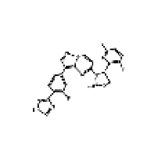 Cc1ccc(F)c([C@H]2COC(=O)N2c2ccn3ncc(-c4ccc(-c5nc[nH]n5)c(F)c4)c3n2)n1